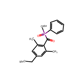 COCc1cc(C)c(C(=O)P(=O)(OC)c2ccccc2)c(C)c1